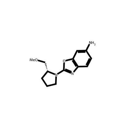 COC[C@H]1CCCN1c1nc2ccc(N)cc2o1